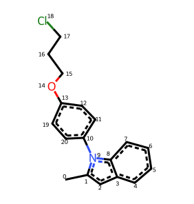 Cc1cc2ccccc2n1-c1ccc(OCCCCl)cc1